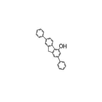 Oc1cc(-c2ccccc2)cc2c1-c1ccc(-c3ccccc3)cc1C2